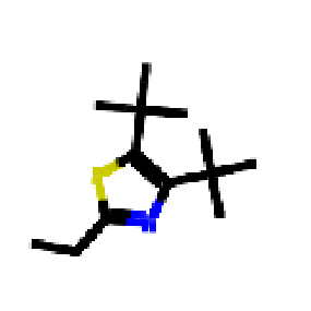 CCc1nc(C(C)(C)C)c(C(C)(C)C)s1